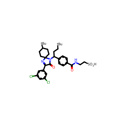 CC(C)(C)CCC(c1ccc(C(=O)NCCS(=O)(=O)O)cc1)N1C(=O)C(c2cc(Cl)cc(Cl)c2)=NC12CCC(C(C)(C)C)CC2